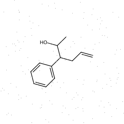 C=CCC(c1ccccc1)C(C)O